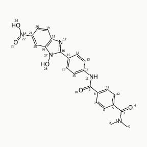 CN(C)C(=O)c1ccc(C(=O)Nc2ccc(-c3nc4ccc([N+](=O)O)cc4n3O)cc2)cc1